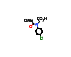 COC(=O)N(CC(=O)O)c1ccc(Cl)cc1